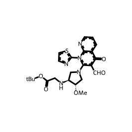 CO[C@H]1CN(c2c(C=O)c(=O)c3cccnc3n2-c2nccs2)C[C@@H]1NCC(=O)OC(C)(C)C